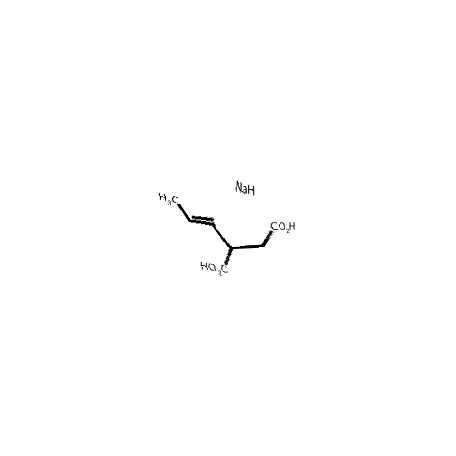 CC=CC(CC(=O)O)C(=O)O.[NaH]